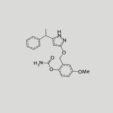 COc1ccc(OC(N)=O)c(COc2cc(C(C)c3ccccc3)[nH]n2)c1